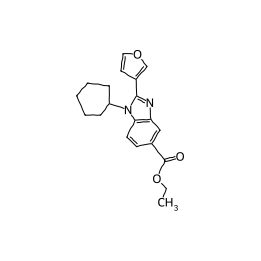 CCOC(=O)c1ccc2c(c1)nc(-c1ccoc1)n2C1CCCCC1